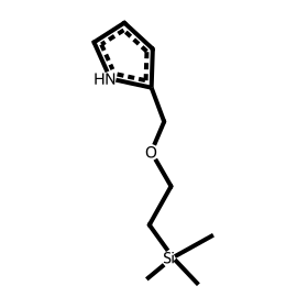 C[Si](C)(C)CCOCc1ccc[nH]1